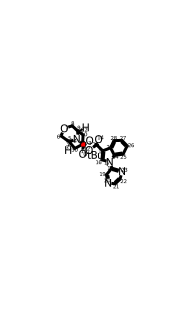 CC(C)(C)OC(=O)N1[C@@H]2COC[C@@H]1CC(OC(=O)c1cn(-c3cnccn3)c3ccccc13)C2